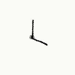 CCCCCCCCCCCCCCCCCCC(=O)OC(=O)CCCCCCCCCCCCCCCCCC